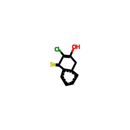 OC1=C(Cl)C(=S)c2ccccc2C1